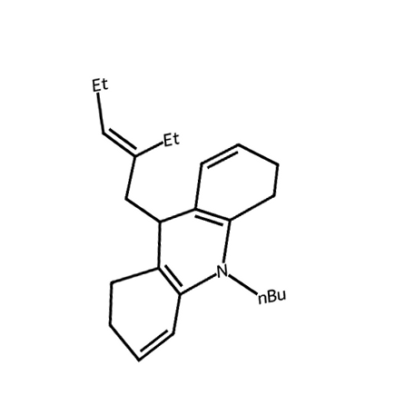 CC/C=C(\CC)CC1C2=C(CCC=C2)N(CCCC)C2=C1CCC=C2